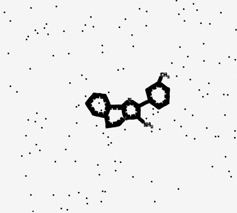 Cc1cccc(-c2nc3c4ccccc4ccn3c2N)c1